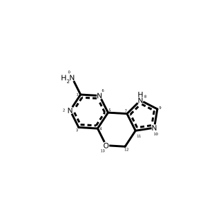 Nc1ncc2c(n1)-c1[nH]cnc1CO2